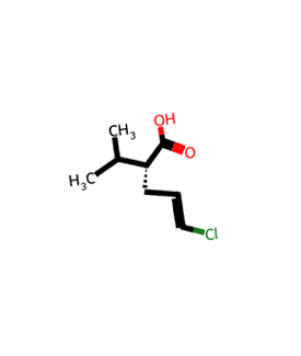 CC(C)[C@@H](C/C=C/Cl)C(=O)O